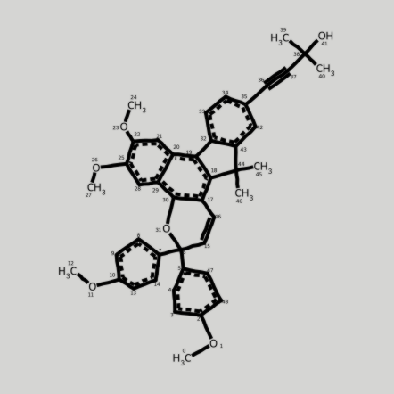 COc1ccc(C2(c3ccc(OC)cc3)C=Cc3c4c(c5cc(OC)c(OC)cc5c3O2)-c2ccc(C#CC(C)(C)O)cc2C4(C)C)cc1